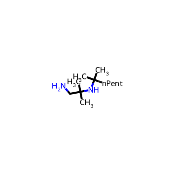 CCCCCC(C)(C)NC(C)(C)CN